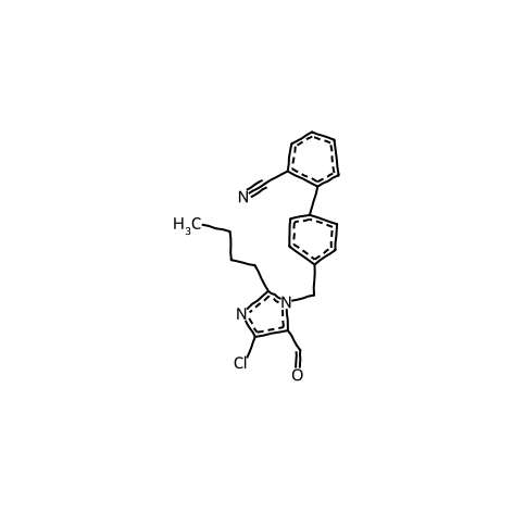 CCCCc1nc(Cl)c(C=O)n1Cc1ccc(-c2ccccc2C#N)cc1